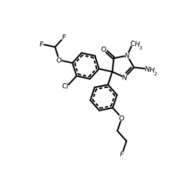 CN1C(=O)C(c2cccc(OCCF)c2)(c2ccc(OC(F)F)c(Cl)c2)N=C1N